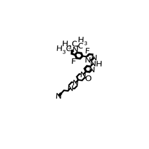 Cc1cc2c(F)cc(-c3nc(Nc4ccc(N5CCC(N6CCN(CCC#N)CC6)CC5=O)cn4)ncc3F)cc2n1C(C)C